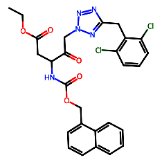 CCOC(=O)CC(NC(=O)OCc1cccc2ccccc12)C(=O)Cn1nnc(Cc2c(Cl)cccc2Cl)n1